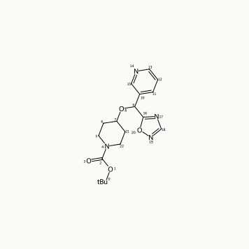 CC(C)(C)OC(=O)N1CCC(OC(c2cccnc2)c2ncno2)CC1